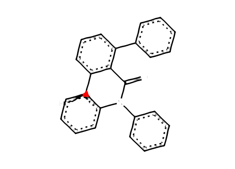 O=C(O)c1cccc(-c2ccccc2)c1C(=O)N(c1ccccc1)c1ccccc1